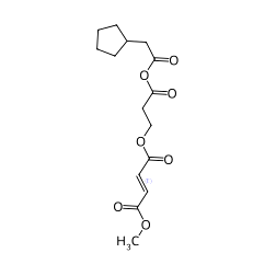 COC(=O)/C=C/C(=O)OCCC(=O)OC(=O)CC1CCCC1